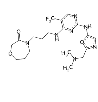 CN(C)Cc1ncc(Nc2ncc(C(F)(F)F)c(NCCCN3CCCOCC3=O)n2)o1